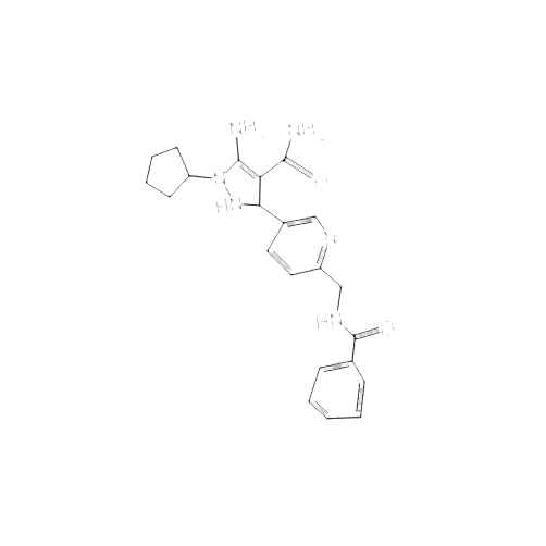 NC(=O)C1=C(N)N(C2CCCC2)NC1c1ccc(CNC(=O)c2ccccc2)nc1